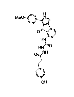 COc1ccc(-c2[nH]nc3c2C(=O)c2c(NC(=O)NNC(=O)CCc4ccc(O)cc4)cccc2-3)cc1